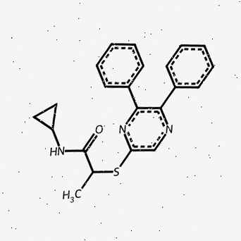 CC(Sc1cnc(-c2ccccc2)c(-c2ccccc2)n1)C(=O)NC1CC1